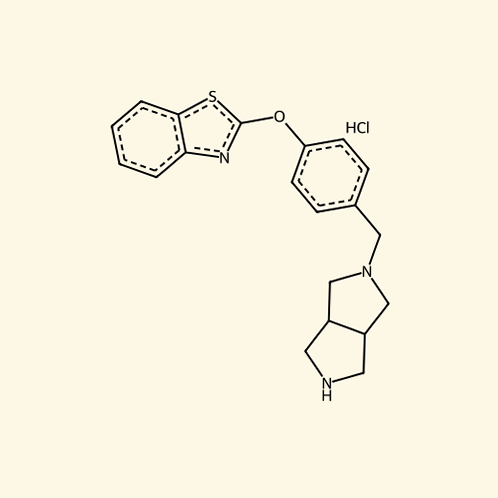 Cl.c1ccc2sc(Oc3ccc(CN4CC5CNCC5C4)cc3)nc2c1